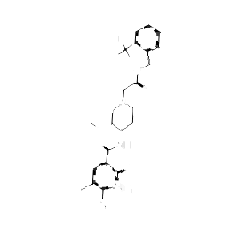 CO[C@@H]1CN(CC(=O)OCc2ccccc2C(F)(F)F)CC[C@@H]1NC(=O)c1cc(Cl)c(N)[nH]c1=O